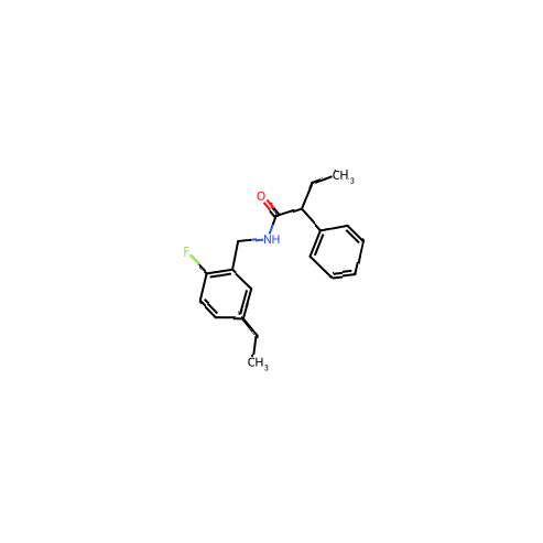 CCc1ccc(F)c(CNC(=O)C(CC)c2ccccc2)c1